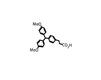 COc1ccc(C(c2ccc(CCC(=O)O)cc2)c2ccc(OC)cc2)cc1